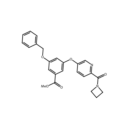 COC(=O)c1cc(OCc2ccccc2)cc(Oc2ccc(C(=O)N3CCC3)nc2)c1